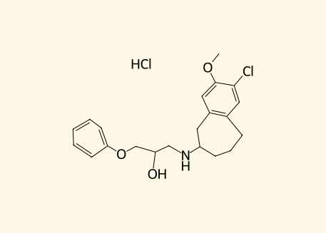 COc1cc2c(cc1Cl)CCCC(NCC(O)COc1ccccc1)C2.Cl